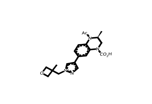 CC(=O)N1c2ccc(-c3cnn(CC4(C)COC4)c3)cc2N(C(=O)O)C[C@@H]1C